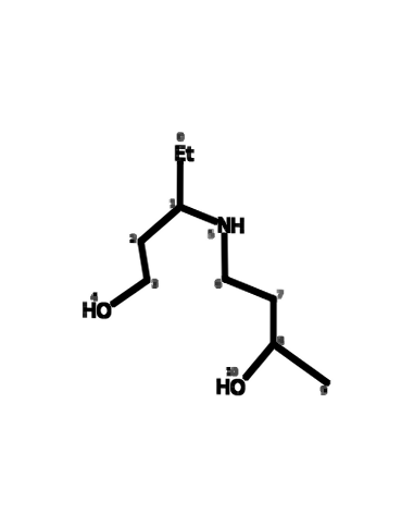 CCC(CCO)NCCC(C)O